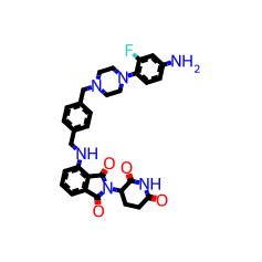 Nc1ccc(N2CCN(Cc3ccc(CNc4cccc5c4C(=O)N(C4CCC(=O)NC4=O)C5=O)cc3)CC2)c(F)c1